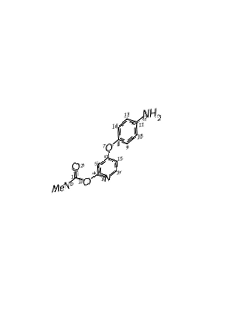 CNC(=O)Oc1cc(Oc2ccc(N)cc2)ccn1